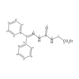 CCOC(=O)CNC(=O)NN=C(c1ccccc1)c1ccccc1